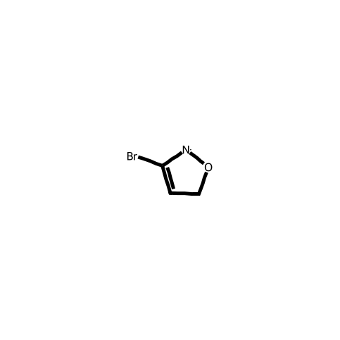 BrC1=CCO[N]1